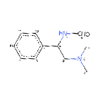 CN(C)CC(NC=O)c1ccccc1